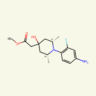 C[C@@H]1CC(O)(CC(=O)OC(C)(C)C)C[C@H](C)N1c1ccc(N)cc1F